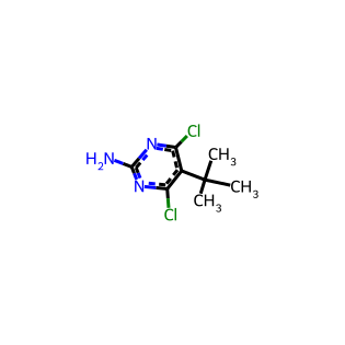 CC(C)(C)c1c(Cl)nc(N)nc1Cl